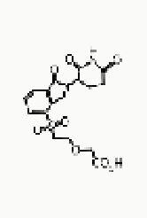 O=C(O)COCCS(=O)(=O)c1cccc2c1CN(C1CCC(=O)NC1=O)C2=O